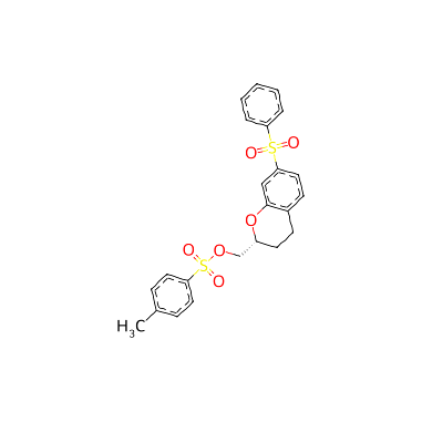 Cc1ccc(S(=O)(=O)OC[C@H]2CCc3ccc(S(=O)(=O)c4ccccc4)cc3O2)cc1